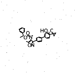 Cc1onc(-c2ccc(-c3ccc(C4(C(=O)O)CC4)cc3)cc2)c1N(C)C(=O)OC(C)c1ccccc1